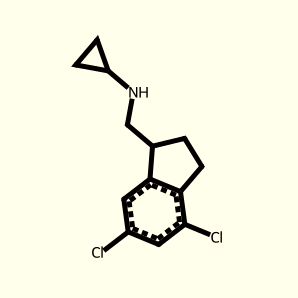 Clc1cc(Cl)c2c(c1)C(CNC1CC1)CC2